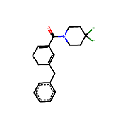 O=C(C1=CC[CH]C(Cc2ccccc2)=C1)N1CCC(F)(F)CC1